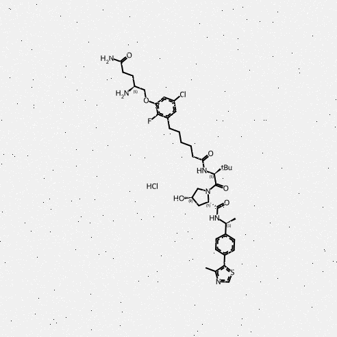 Cc1ncsc1-c1ccc([C@H](C)NC(=O)[C@@H]2C[C@@H](O)CN2C(=O)[C@@H](NC(=O)CCCCCc2cc(Cl)cc(OC[C@@H](N)CCC(N)=O)c2F)C(C)(C)C)cc1.Cl